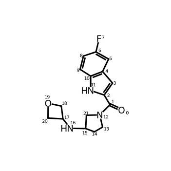 O=C(c1cc2cc(F)ccc2[nH]1)N1CCC(NC2COC2)C1